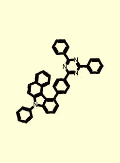 c1ccc(-c2nc(-c3ccccc3)nc(-c3ccc(-c4cccc5c4c4c6ccccc6ccc4n5-c4ccccc4)cc3)n2)cc1